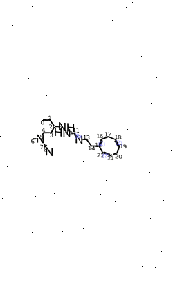 CCC(CCN(C)C#N)NN/C=N/CCC1=C/C/C=C\C/C=C\1